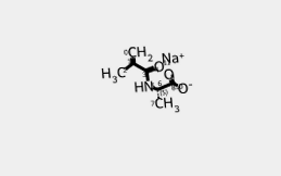 C=C(C)C(=O)N[C@@H](C)C(=O)[O-].[Na+]